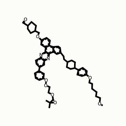 COCCCCCCOc1ccc(C2CCC(CCc3ccc4c5ccc(OCC6CCC(C=O)CC6)cc5c5nc6ccc(-c7cccc(OOCCOC8OC8(C)C)c7)cc6nc5c4c3)CC2)cc1